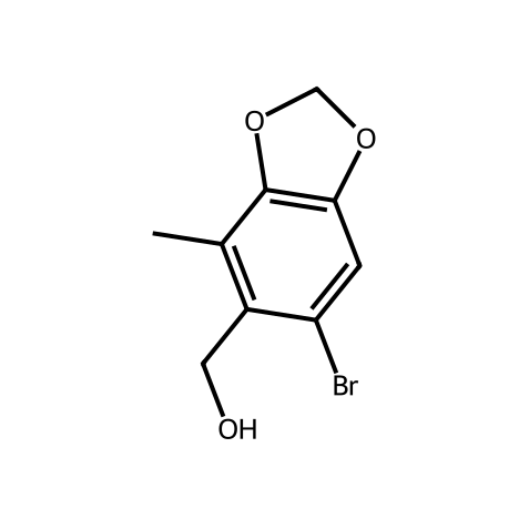 Cc1c(CO)c(Br)cc2c1OCO2